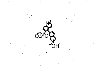 Cc1ccc2c(-c3ccc4c(c3)CN(C(C)O)CC4)c(C(=O)N3CCOCC3)ccc2n1